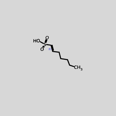 CCCCC/C=[C]/S(=O)(=O)O